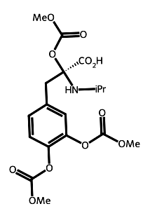 COC(=O)Oc1ccc(C[C@](NC(C)C)(OC(=O)OC)C(=O)O)cc1OC(=O)OC